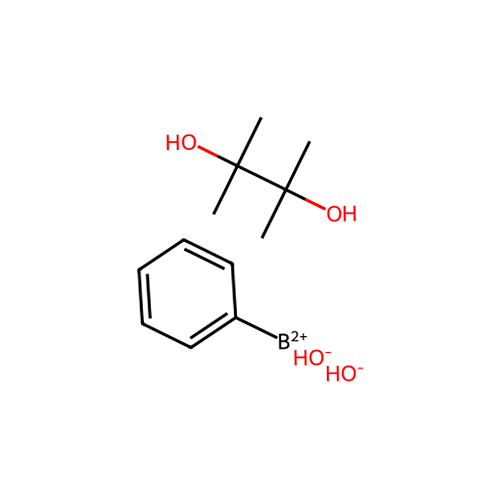 CC(C)(O)C(C)(C)O.[B+2]c1ccccc1.[OH-].[OH-]